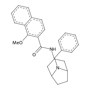 COc1c(C(=O)NC2CC3CCC(C2)N3Cc2ccccc2)ccc2ccccc12